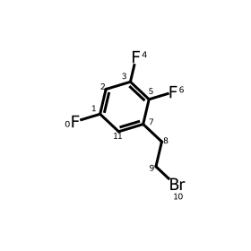 Fc1cc(F)c(F)c(CCBr)c1